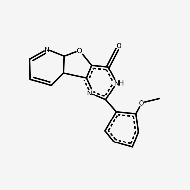 COc1ccccc1-c1nc2c(c(=O)[nH]1)OC1N=CC=CC21